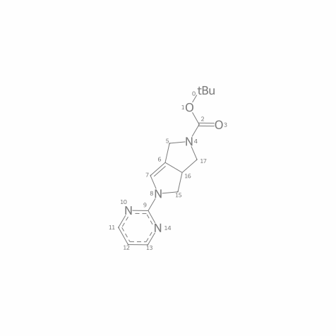 CC(C)(C)OC(=O)N1CC2=CN(c3ncccn3)CC2C1